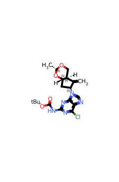 C=C1[C@@H]2CO[C@@H](C)O[C@H]2C[C@@H]1n1cnc2c(Cl)nc(NC(=O)OC(C)(C)C)nc21